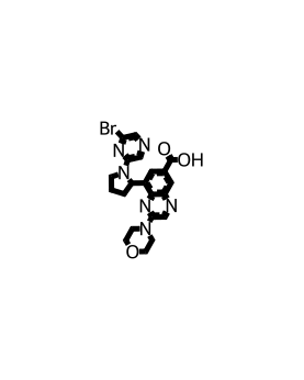 O=C(O)c1cc(C2CCCN2c2cncc(Br)n2)c2nc(N3CCOCC3)cnc2c1